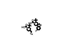 CC(C)(C)C1CC2(C=Nc3ccc(F)cc32)CCN1C(=O)O.COC=C1CCN(C(=O)O)C(C(C)(C)C)C1